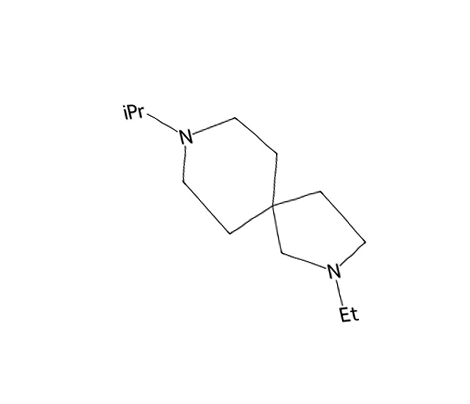 CCN1CCC2(CCN(C(C)C)CC2)C1